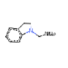 CNCN1CCc2ccccc21